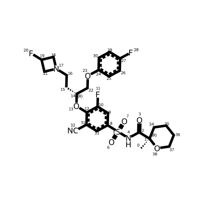 C[C@]1(C(=O)NS(=O)(=O)c2cc(F)c(O[C@H](CCN3CC(F)C3)COc3ccc(F)cc3)c(C#N)c2)CCCCO1